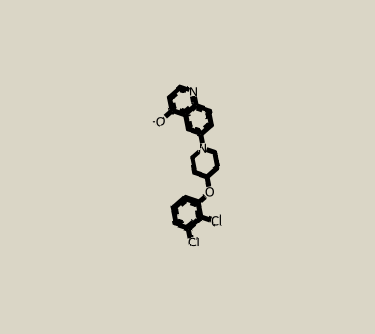 [O]c1ccnc2ccc(N3CCC(Oc4cccc(Cl)c4Cl)CC3)cc12